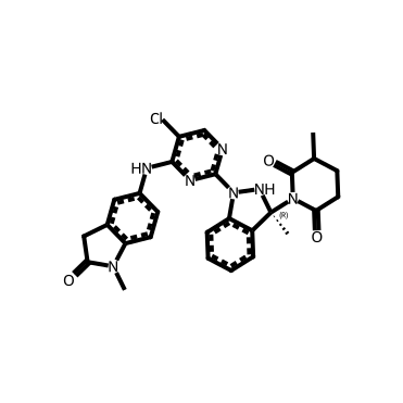 CC1CCC(=O)N([C@]2(C)NN(c3ncc(Cl)c(Nc4ccc5c(c4)CC(=O)N5C)n3)c3ccccc32)C1=O